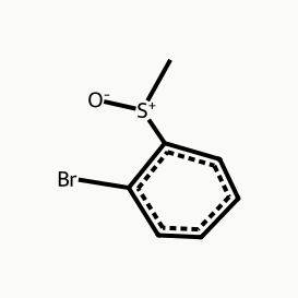 C[S+]([O-])c1ccccc1Br